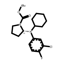 CC(C)(C)OC(=O)N1CCC[C@H]1N(c1ccc(F)c(Cl)c1)C1CCCCC1